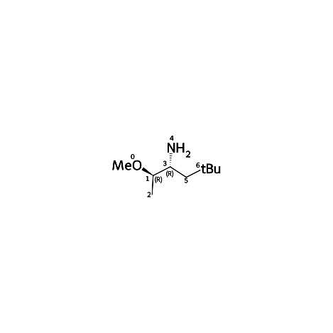 CO[C@H](C)[C@H](N)CC(C)(C)C